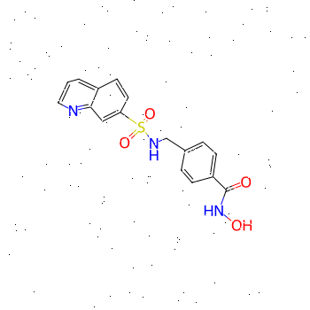 O=C(NO)c1ccc(CNS(=O)(=O)c2ccc3cccnc3c2)cc1